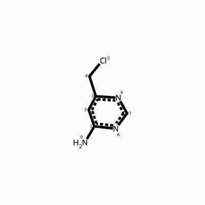 Nc1cc(CCl)ncn1